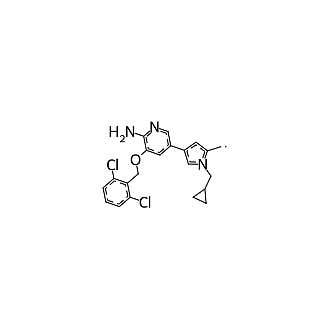 [CH2]c1cc(-c2cnc(N)c(OCc3c(Cl)cccc3Cl)c2)cn1CC1CC1